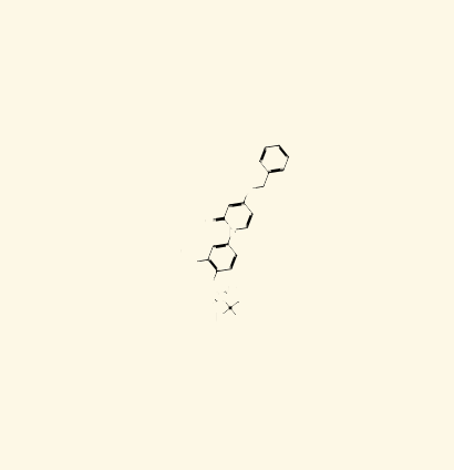 COc1cc(-n2ccc(OCc3ccccc3)cc2=O)ccc1OS(=O)(=O)C(F)(F)F